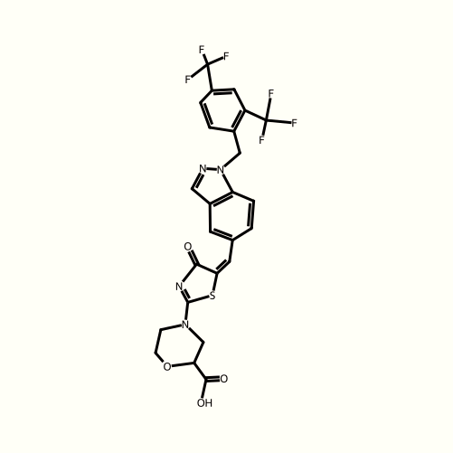 O=C1N=C(N2CCOC(C(=O)O)C2)SC1=Cc1ccc2c(cnn2Cc2ccc(C(F)(F)F)cc2C(F)(F)F)c1